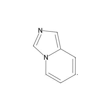 [c]1ccn2cncc2c1